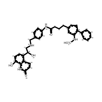 O=C(O)Nc1cc(CCCC(=O)Nc2ccc(CNCC(O)c3ccc(O)c4[nH]c(=O)ccc34)cc2)ccc1-c1ccccc1